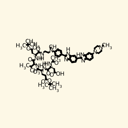 CC(=O)N[C@@H](CC(=O)O)C(=O)N[C@@H](CCC(=O)OC(C)(C)C)C(=O)N[C@H](C(=O)N[C@@H](CC(=O)OC(C)(C)C)C(=O)NCCN(C)c1ccc(-c2nc3ccc(-c4nc5ccc(N6CCN(C)CC6)cc5[nH]4)cc3[nH]2)cc1)C(C)C